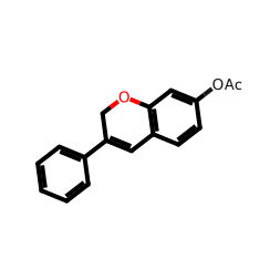 CC(=O)Oc1ccc2c(c1)OCC(c1ccccc1)=C2